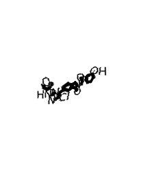 O=C(CN1Cc2ccc(-c3nc(NC4CCOCC4)ncc3Cl)cc2C1=O)N1CCC[C@@H](O)C1